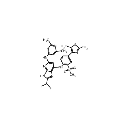 Cc1cc(Nc2cc(Nc3ccc(-c4nc(C)sc4C)cc3S(C)(=O)=O)c3nc(C(F)F)[nH]c3n2)nc(C)n1